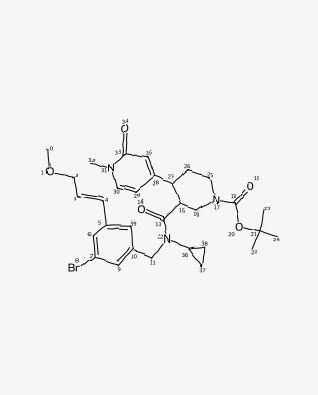 COCC=Cc1cc(Br)cc(CN(C(=O)C2CN(C(=O)OC(C)(C)C)CCC2c2ccn(C)c(=O)c2)C2CC2)c1